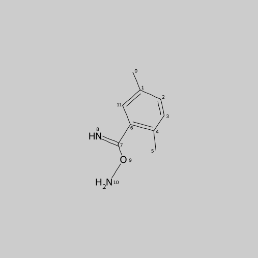 Cc1ccc(C)c(C(=N)ON)c1